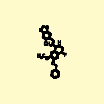 COc1cc2c(cc1OCc1ccccc1)C(F)CNC2/C=C/c1cc2c(cc1C)OCO2